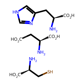 N[C@@H](CC(=O)O)C(=O)O.N[C@@H](CS)C(=O)O.N[C@@H](Cc1c[nH]cn1)C(=O)O